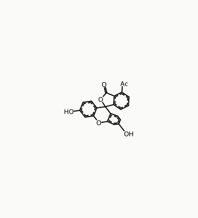 CC(=O)c1cccc2c1C(=O)OC21c2ccc(O)cc2Oc2cc(O)ccc21